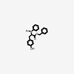 CC(=O)N(c1ccccc1)C(Cc1ccc(O)cc1)C(=O)OCc1ccccc1